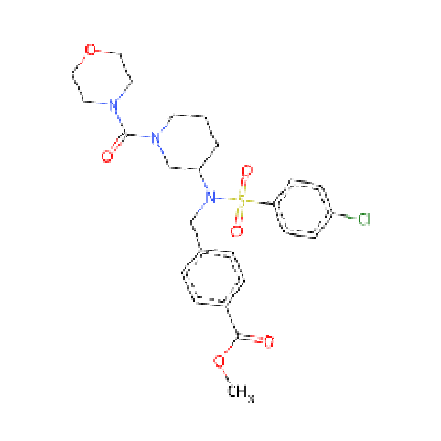 COC(=O)c1ccc(CN(C2CCCN(C(=O)N3CCOCC3)C2)S(=O)(=O)c2ccc(Cl)cc2)cc1